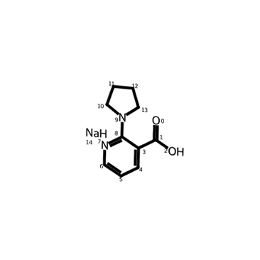 O=C(O)c1cccnc1N1CCCC1.[NaH]